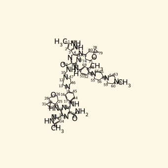 Cc1cc(-c2nc(C(=O)NCN3CCN(c4ccc(Nc5nc(NC6CCOCC67CC7)c(-c6cc(C)[nH]n6)nc5C(N)=O)cc4)CC3)c(Nc3ccc(N4CCC(N5CCN(C)CC5)CC4)c(C)c3)nc2NC2CCOC3(CC3)C2)n[nH]1